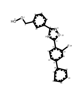 OOCc1cccc(-c2noc(-c3ccc(-c4ccccc4)cc3F)n2)c1